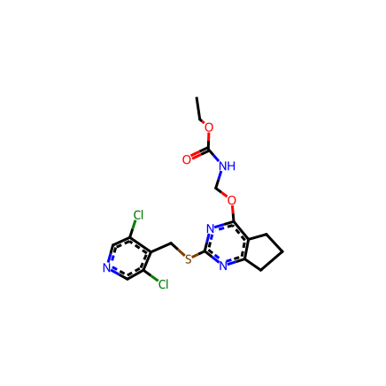 CCOC(=O)NCOc1nc(SCc2c(Cl)cncc2Cl)nc2c1CCC2